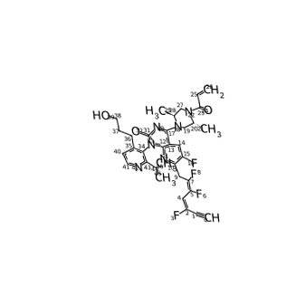 C#C/C(F)=C\C(F)=C(\F)Cc1nc2c(cc1F)c(N1C[C@@H](C)N(C(=O)C=C)C[C@@H]1C)nc(=O)n2-c1c(CCCO)ccnc1C(C)C